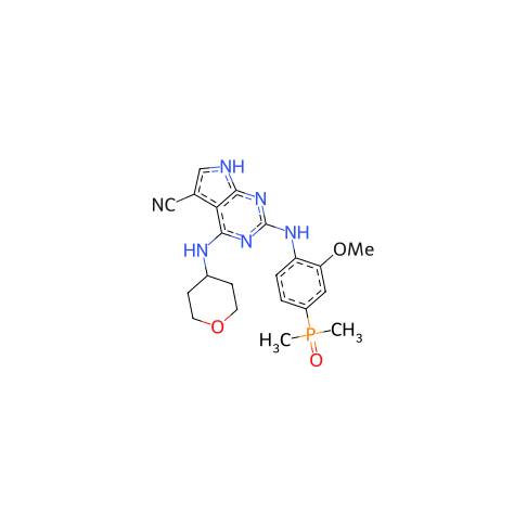 COc1cc(P(C)(C)=O)ccc1Nc1nc(NC2CCOCC2)c2c(C#N)c[nH]c2n1